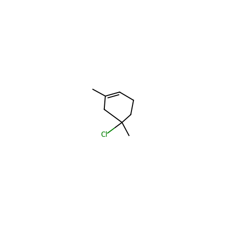 CC1=CCCC(C)(Cl)C1